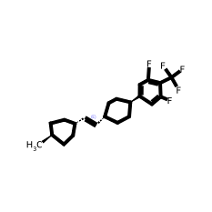 C[C@H]1CC[C@H](/C=C/[C@H]2CC[C@H](c3cc(F)c(C(F)(F)F)c(F)c3)CC2)CC1